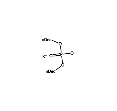 CCCCCCCCCCOP(=O)([O-])OCCCCCCCCCC.[K+]